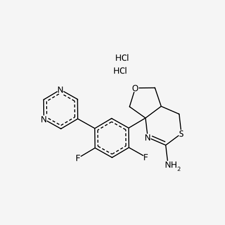 Cl.Cl.NC1=NC2(c3cc(-c4cncnc4)c(F)cc3F)COCC2CS1